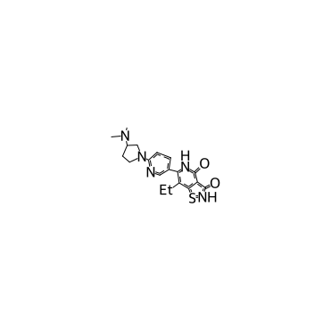 CCc1c(-c2ccc(N3CCC(N(C)C)C3)nc2)[nH]c(=O)c2c(=O)[nH]sc12